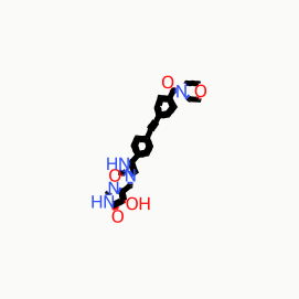 O=C(c1ccc(C#Cc2ccc(-c3cn(Cc4nc[nH]c(=O)c4O)c(=O)[nH]3)cc2)cc1)N1CCOCC1